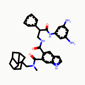 CN(CC12CC3CC(CC(C3)C1)C2)C(=O)c1cc2[nH]ccc2cc1C(=O)NCC(C(=O)Nc1cc(N)cc(N)c1)c1ccccc1